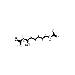 O=C(Cl)NCCCCCC(Cl)NC(=O)Cl